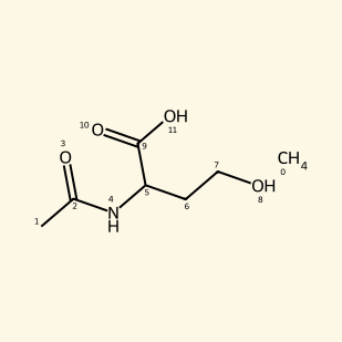 C.CC(=O)NC(CCO)C(=O)O